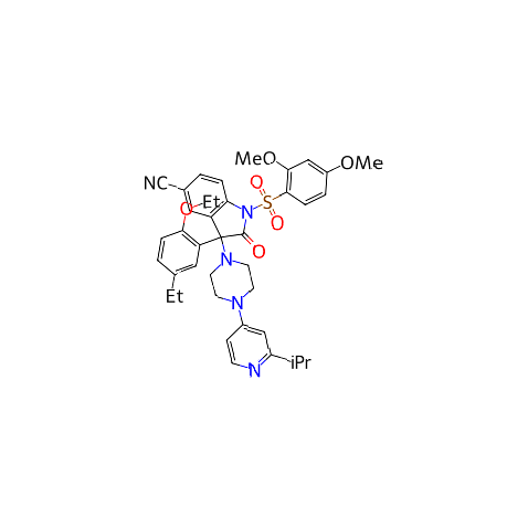 CCOc1ccc(CC)cc1C1(N2CCN(c3ccnc(C(C)C)c3)CC2)C(=O)N(S(=O)(=O)c2ccc(OC)cc2OC)c2ccc(C#N)cc21